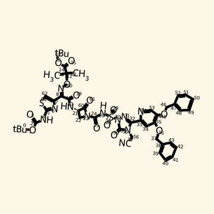 CC(C)(C)OC(=O)Nc1nc(/C(=N/OC(C)(C)C(=O)OC(C)(C)C)C(=O)N[C@H]2CN(C(=O)NS(=O)(=O)n3nc(-c4cc(OCc5ccccc5)c(OCc5ccccc5)cn4)n(CC#N)c3=O)C2=O)cs1